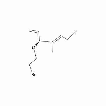 C=C[C@H](OCCBr)C(C)=CCC